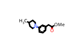 COC(=O)Cc1cccc(N2CCC(C)CC2)c1